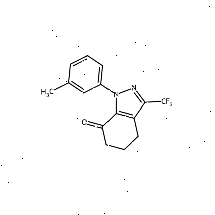 Cc1cccc(-n2nc(C(F)(F)F)c3c2C(=O)CCC3)c1